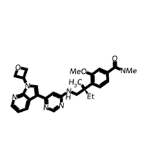 CC[C@](C)(CNc1cc(-c2cn(C3COC3)c3ncccc23)ncn1)c1ccc(C(=O)NC)cc1OC